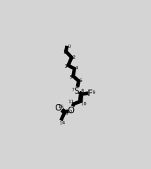 CCCCCCCS/C(F)=C\COC(C)=O